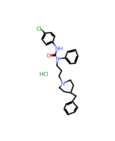 Cl.O=C(Nc1ccc(Cl)cc1)N(CCCN1CCC(Cc2ccccc2)CC1)c1ccccc1